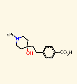 CCCN1CCC(O)(CCc2ccc(C(=O)O)cc2)CC1